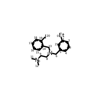 CCc1cccc(CN(CCN(C)C)Cc2ccccc2I)c1